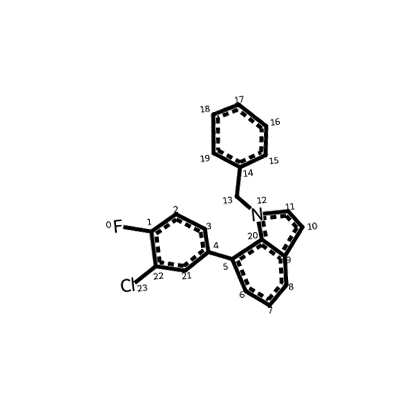 Fc1ccc(-c2cccc3ccn(Cc4ccccc4)c23)cc1Cl